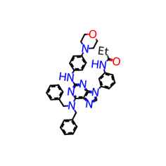 CCC(=O)Nc1cccc(-n2cnc3c(N(Cc4ccccc4)Cc4ccccc4)nc(Nc4ccc(N5CCOCC5)cc4)nc32)c1